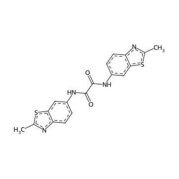 Cc1nc2ccc(NC(=O)C(=O)Nc3ccc4nc(C)sc4c3)cc2s1